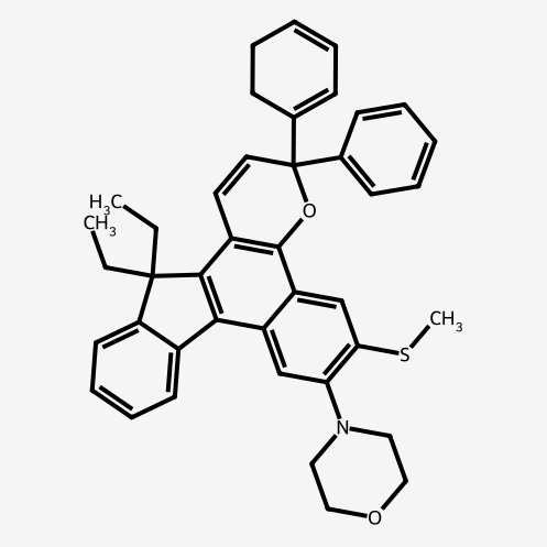 CCC1(CC)c2ccccc2-c2c1c1c(c3cc(SC)c(N4CCOCC4)cc23)OC(C2=CC=CCC2)(c2ccccc2)C=C1